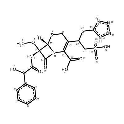 CO[C@@]1(NC(=O)C(O)c2ccccc2)C(=O)N2C(C(=O)O)=C(C(CS(=O)(=O)O)Sc3nnn[nH]3)CS[C@H]21